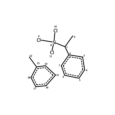 CC(c1ccccc1)[Si](Cl)(Cl)Cl.Cc1ccccc1